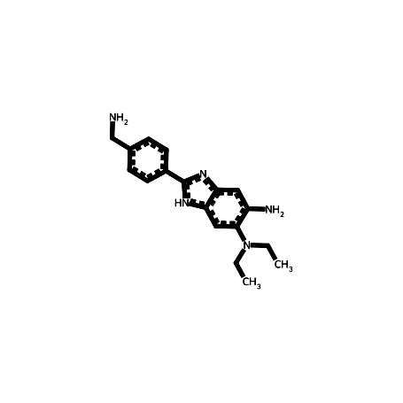 CCN(CC)c1cc2[nH]c(-c3ccc(CN)cc3)nc2cc1N